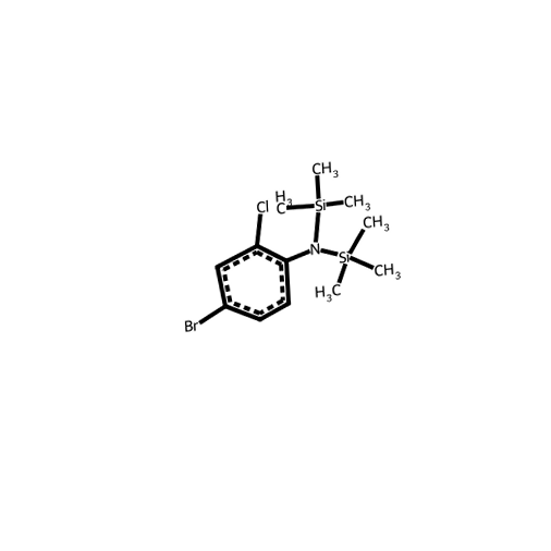 C[Si](C)(C)N(c1ccc(Br)cc1Cl)[Si](C)(C)C